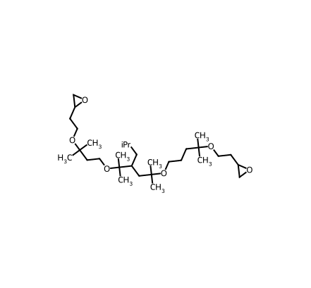 CC(C)CC(CC(C)(C)OCCCC(C)(C)OCCC1CO1)C(C)(C)OCCC(C)(C)OCCC1CO1